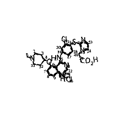 CN1CCC(Oc2cccc3ncnc(Nc4ccc(Sc5nccn5CC(=O)O)c(Cl)c4)c23)CC1.Cl.Cl